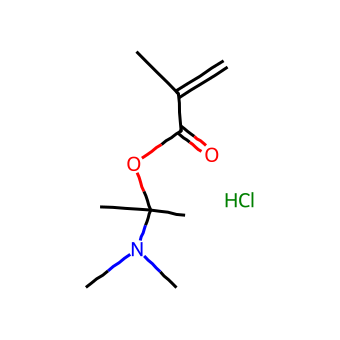 C=C(C)C(=O)OC(C)(C)N(C)C.Cl